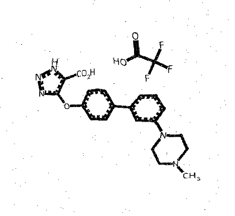 CN1CCN(c2cccc(-c3ccc(Oc4nn[nH]c4C(=O)O)cc3)c2)CC1.O=C(O)C(F)(F)F